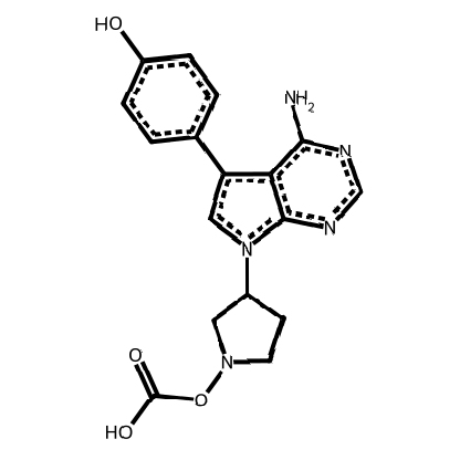 Nc1ncnc2c1c(-c1ccc(O)cc1)cn2C1CCN(OC(=O)O)C1